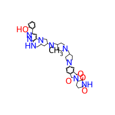 CN(CC1CCN(CC2CCN(c3ccc4c(c3)C(=O)N(C3CCC(=O)NC3=O)C4=O)CC2)CC1)C1CCN2c3cc(-c4ccccc4O)nnc3NCC2C1